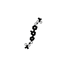 C=C(C)C(=O)OCOc1ccc(-c2ccc(-c3ccc(OCOC(=O)C(=C)C)cc3)c(C)c2)cc1